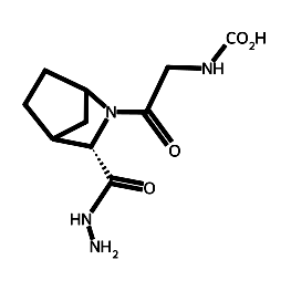 NNC(=O)[C@@H]1C2CCC(C2)N1C(=O)CNC(=O)O